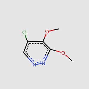 COc1nncc(Cl)c1OC